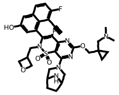 C#Cc1c(F)ccc2cc(O)cc(C3=C(F)c4nc(OCC5(CN(C)C)CC5)nc(N5CC6CCC(C5)N6)c4S(=O)(=O)N3CC3COC3)c12